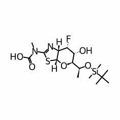 C[C@H](O[Si](C)(C)C(C)(C)C)[C@H]1O[C@@H]2SC(N(C)C(=O)O)=N[C@@H]2[C@H](F)[C@@H]1O